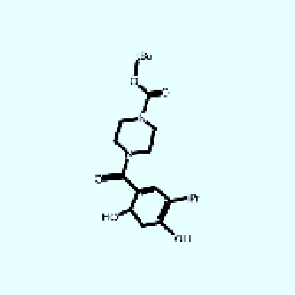 CC(C)C1=C(O)CC(O)C(C(=O)N2CCN(C(=O)OC(C)(C)C)CC2)=C1